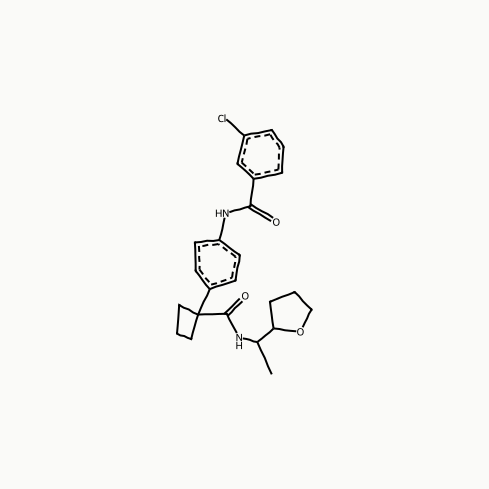 CC(NC(=O)C1(c2ccc(NC(=O)c3cccc(Cl)c3)cc2)CCC1)C1CCCO1